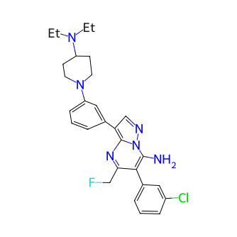 CCN(CC)C1CCN(c2cccc(-c3cnn4c(N)c(-c5cccc(Cl)c5)c(CF)nc34)c2)CC1